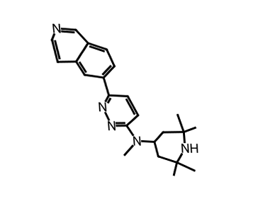 CN(c1ccc(-c2ccc3cnccc3c2)nn1)C1CC(C)(C)NC(C)(C)C1